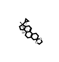 C[C@]12CC=C3C4=C(CC[C@H]3[C@@H]1CC[C@]2(C)C1CC1)CC1(CC4)OCCO1